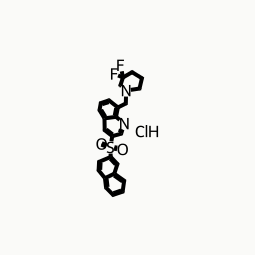 Cl.O=S(=O)(c1ccc2ccccc2c1)c1cnc2c(CN3CCCC(F)(F)C3)cccc2c1